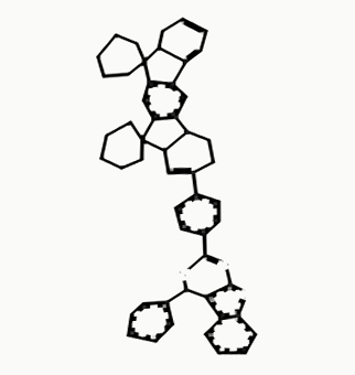 C1=CCC2C(=C1)c1cc3c(cc1C21CCCCC1)C1(CCCCC1)C1C=C(c2ccc(C4=Nc5sc6ccccc6c5C(c5ccccc5)N4)cc2)CCC31